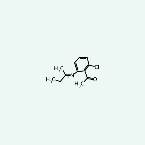 CC/C(C)=N/c1cccc(Cl)c1C(C)=O